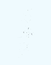 C=Cc1ccc(C(C=C)OS(=O)(=O)OC(C=C)c2ccc(C=C)cc2)cc1